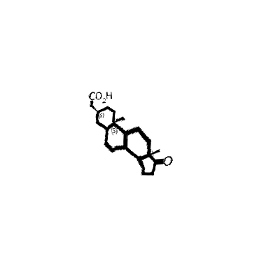 C[C@]12CC[C@H](CC(=O)O)CC1CCC1C2CC[C@]2(C)C(=O)CCC12